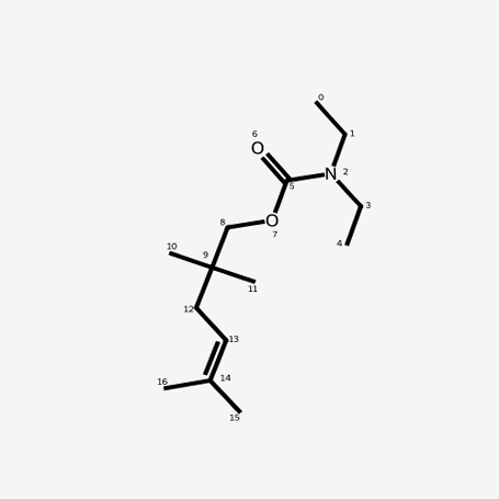 CCN(CC)C(=O)OCC(C)(C)CC=C(C)C